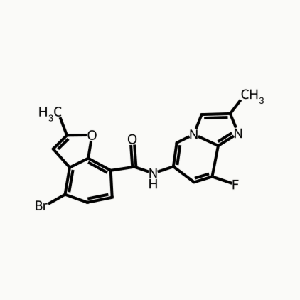 Cc1cn2cc(NC(=O)c3ccc(Br)c4cc(C)oc34)cc(F)c2n1